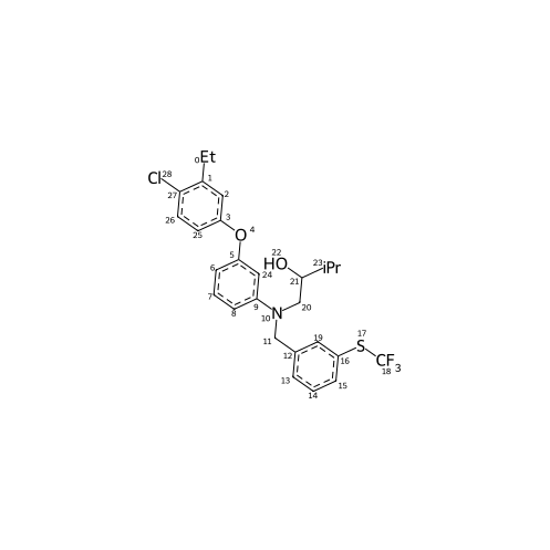 CCc1cc(Oc2cccc(N(Cc3cccc(SC(F)(F)F)c3)CC(O)C(C)C)c2)ccc1Cl